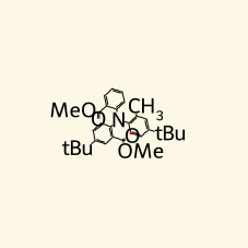 COC(=O)c1ccccc1N(c1ccc(C(C)(C)C)cc1C)c1ccc(C(C)(C)C)cc1C(=O)OC